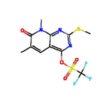 CSc1nc(OS(=O)(=O)C(F)(F)F)c2cc(C)c(=O)n(C)c2n1